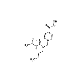 CCCCN(Cc1ccc(C(=O)NO)cc1)C(=O)NC(C)C